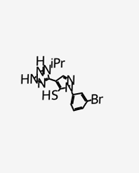 CC(C)N1NNN=C1c1cnn(-c2cccc(Br)c2)c1S